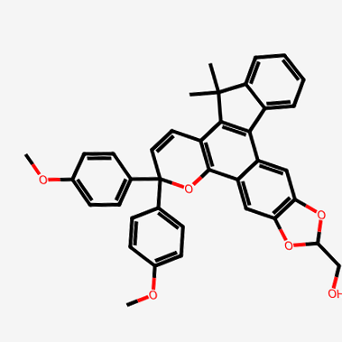 COc1ccc(C2(c3ccc(OC)cc3)C=Cc3c4c(c5cc6c(cc5c3O2)OC(CO)O6)-c2ccccc2C4(C)C)cc1